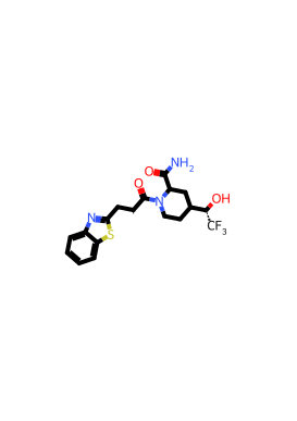 NC(=O)C1CC([C@H](O)C(F)(F)F)CCN1C(=O)[CH]Cc1nc2ccccc2s1